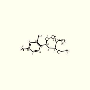 CCOC(CC(OCC)c1ccc(C(C)C)cc1C)OCC